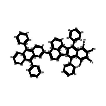 Fc1c(F)c(F)c2c(-c3ccccc3)c3c(c(-c4ccccc4)c2c1F)-c1cccc2c(-c4ccc5c(-c6ccccc6)c6c(c(-c7ccccc7)c5c4)CCC=C6)ccc-3c12